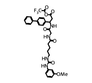 COc1cccc(NC(=O)NCCCCC(=O)NCC(=O)NC(CC(=O)OC(=O)C(F)(F)F)c2ccc(-c3ccccc3)cc2)c1